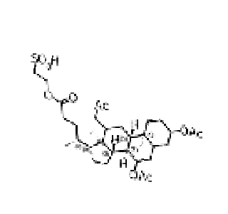 CC(=O)CC1C[C@H]2[C@@H](C(OC(C)=O)CC3CC(OC(C)=O)CC[C@@]32C)[C@@H]2CC[C@H]([C@H](C)CCC(=O)OCCS(=O)(=O)O)[C@@]12C